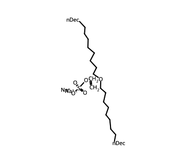 C=C.CCCCCCCCCCCCCCCCCCOCCCCCCCCCCCCCCCCCC.O=S(=O)([O-])[O-].[Na+].[Na+]